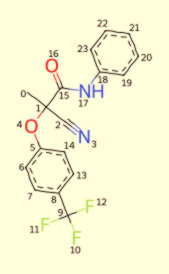 CC(C#N)(Oc1ccc(C(F)(F)F)cc1)C(=O)Nc1ccccc1